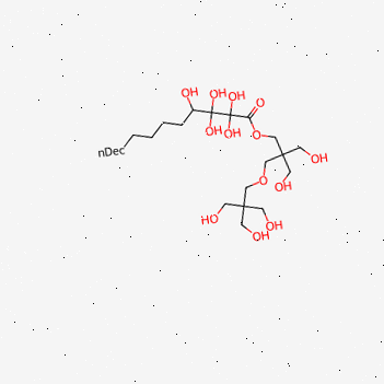 CCCCCCCCCCCCCCC(O)C(O)(O)C(O)(O)C(=O)OCC(CO)(CO)COCC(CO)(CO)CO